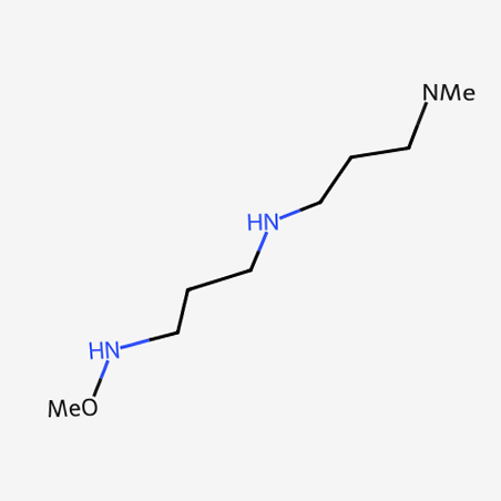 CNCCCNCCCNOC